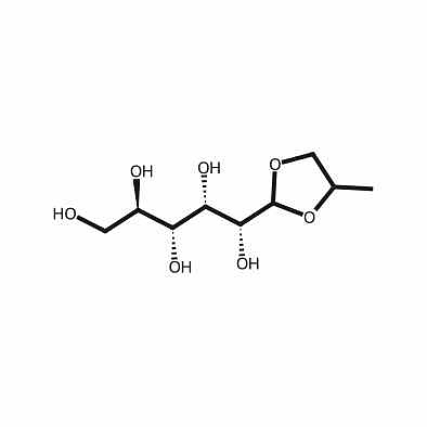 CC1COC([C@H](O)[C@@H](O)[C@H](O)[C@H](O)CO)O1